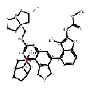 CC(C)(C)OC(=O)Nc1sc2cccc(-c3cc4nc(OC[C@@]56CCCN5C[C@H](F)C6)nc(N5C6CCC5CN(C(=O)O)C6)c4c4c3COC4)c2c1C#N